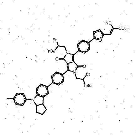 CCCCC(CC)CN1C(=O)C2=C(c3ccc(-c4ccc(/C=C(\C#N)C(=O)O)o4)cc3)N(CC(CC)CCCC)C(=O)C2=C1c1ccc(-c2ccc3c(c2)C2CCCC2N3c2ccc(C)cc2)cc1